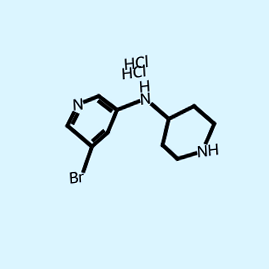 Brc1cncc(NC2CCNCC2)c1.Cl.Cl